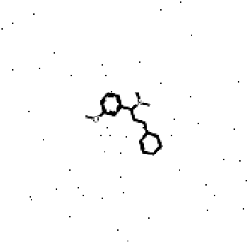 COc1cccc(C(CCC2C=CCCC2)N(C)C)c1